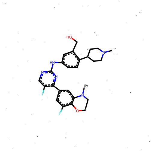 CC(C)N1CCOc2c(F)cc(-c3nc(Nc4ccc(C5CCN(C)CC5)c(CO)c4)ncc3F)cc21